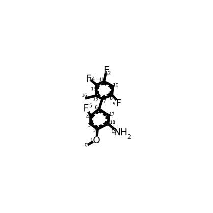 COc1cc(F)c(-c2c(F)cc(F)c(F)c2C)cc1N